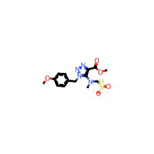 COC(=O)c1nnn(Cc2ccc(OC)cc2)c1N(C)C[SH](=O)=O